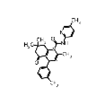 CC1=[C]C(c2cccc(C(F)(F)F)c2)C2=C(CC(C)(C)CC2=O)N1C(=O)Nc1ccc(C)cn1